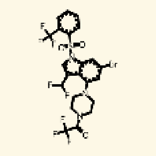 O=C(N1CCN(c2cc(Br)cc3c2c(C(F)F)cn3S(=O)(=O)c2ccccc2C(F)(F)F)CC1)C(F)(F)F